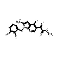 COC(=O)C(=O)c1cnc2c(cc(C)n2Cc2cccc(F)c2F)c1I